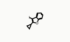 Ic1c(C2CC2)oc2ccccc12